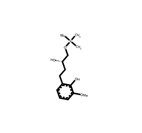 COc1cccc(CC[C@H](O)CO[Si](C)(C)C(C)(C)C)c1O